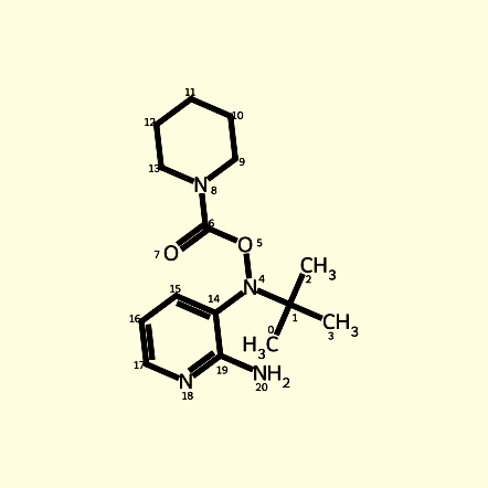 CC(C)(C)N(OC(=O)N1CCCCC1)c1cccnc1N